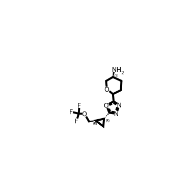 N[C@H]1CCC(c2nnc([C@@H]3C[C@H]3COC(F)(F)F)o2)OC1